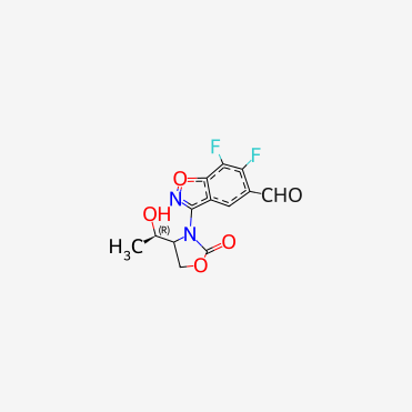 C[C@@H](O)C1COC(=O)N1c1noc2c(F)c(F)c(C=O)cc12